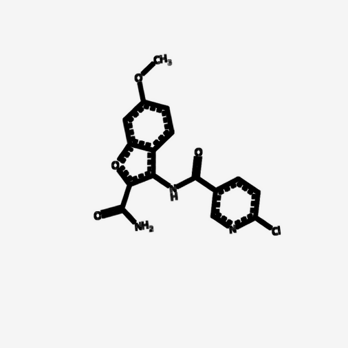 COc1ccc2c(NC(=O)c3ccc(Cl)nc3)c(C(N)=O)oc2c1